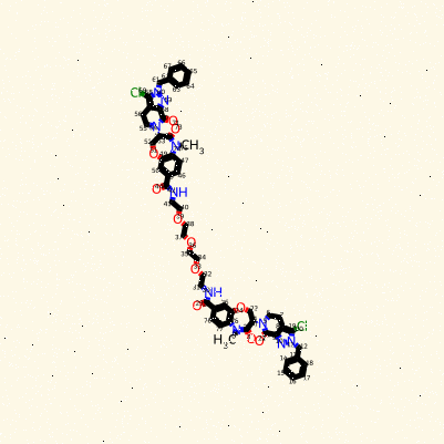 CN1C(=O)[C@@H](N2CCc3c(nn(Cc4ccccc4)c3Cl)C2=O)COc2cc(C(=O)NCCOCCOCCOCCNC(=O)c3ccc4c(c3)OC[C@H](N3CCc5c(nn(Cc6ccccc6)c5Cl)C3=O)C(=O)N4C)ccc21